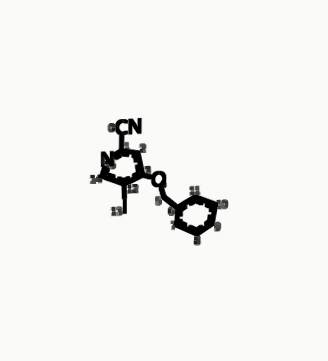 N#Cc1cc(OCc2ccccc2)c(I)cn1